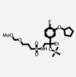 CCC(CNS(=O)(=O)CCCOCOC)(O[Si](C)(C)C)c1ccc(F)c(OC2CCCC2)c1